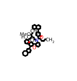 C=C/C=C\c1oc2cc(-c3cccc4ccccc34)ccc2c1N(CC/C(=C(\C=C)OC)C(C)(C)c1ccccc1)c1cccc2oc3c(-c4ccc5c(c4)CCCCC5)cccc3c12